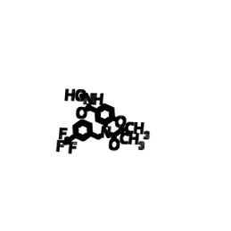 CC1(C)Oc2ccc(C(=O)NO)cc2N(Cc2cccc(C(F)(F)F)c2)C1=O